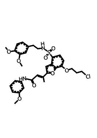 COc1cccc(NC(=O)/C=C(\C)c2cc3c(S(=O)(=O)NCCc4ccc(OC)c(OC)c4)ccc(OCCCCl)c3o2)c1